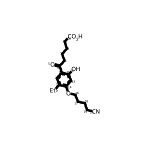 CCc1cc(C(=O)CCCCC(=O)O)c(O)cc1OCCCCC#N